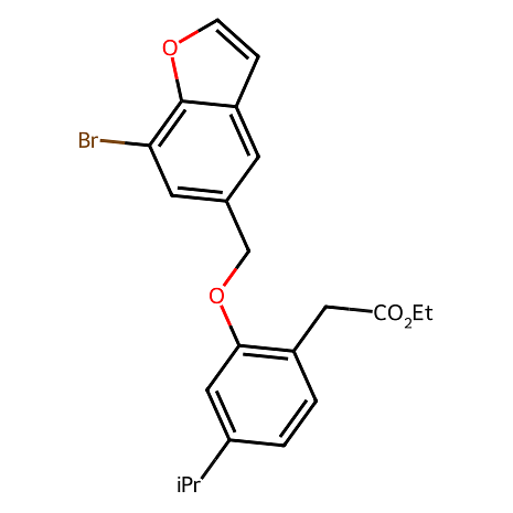 CCOC(=O)Cc1ccc(C(C)C)cc1OCc1cc(Br)c2occc2c1